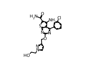 NC(=O)c1sc2nc(OCc3ccn(CCO)n3)nc(-c3cccc(Cl)c3)c2c1N